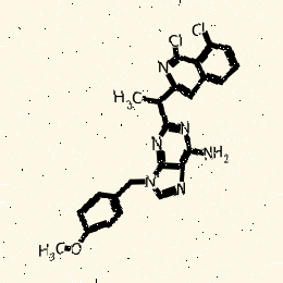 COc1ccc(Cn2cnc3c(N)nc(C(C)c4cc5cccc(Cl)c5c(Cl)n4)nc32)cc1